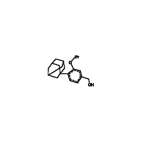 CC(C)Oc1cc(CO)ccc1C12CC3CC(CC(C3)C1)C2